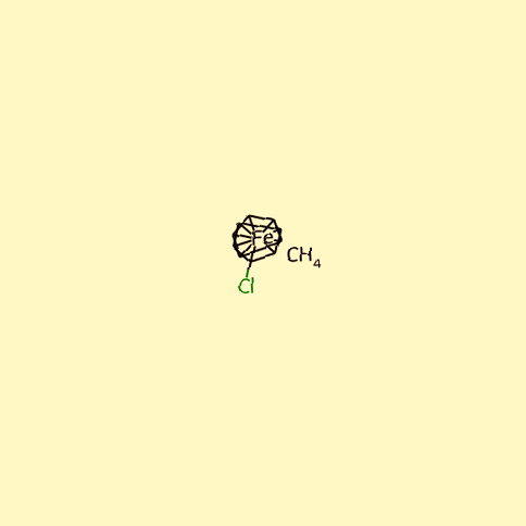 C.Cl[C]12[CH]3[CH]4[CH]5[CH]1[Fe]45321678[CH]2[CH]1[CH]6[CH]7[CH]28